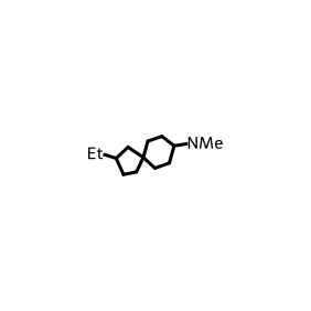 CCC1CCC2(CCC(NC)CC2)C1